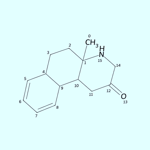 CC12CCC3C=CC=CC3C1CC(=O)CN2